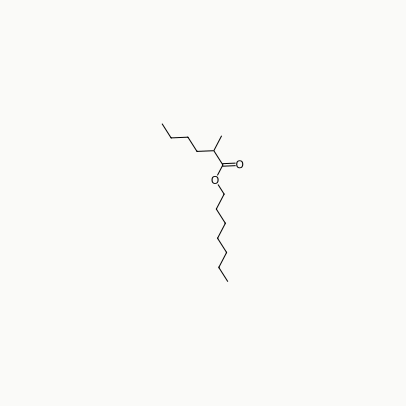 CCCCCCCOC(=O)C(C)CCCC